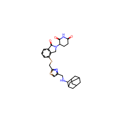 O=C1CCC(N2Cc3c(SCc4nc(CNC5C6CC7CC(C6)CC5C7)cs4)cccc3C2=O)C(=O)N1